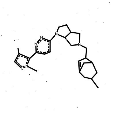 Cc1cnn(C)c1-c1ccc(N2CCC3CN(CC4C=C5CC(C)CC4C5)CC32)nn1